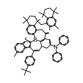 C=C1Cc2c(ccc3c2C(C)(Cc2c(C)c(C)cc4c2C(C)(C)CCC4(C)C)CCC3(C)C)B2C3=C1C=C(N(c1ccccc1)c1ccccc1)CC3C=C(c1ccc(C(C)(C)C)cc1)c1c2sc2ccc(C)cc12